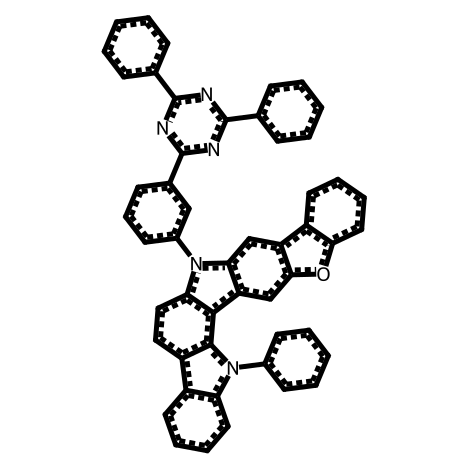 c1ccc(-c2nc(-c3ccccc3)nc(-c3cccc(-n4c5cc6c(cc5c5c4ccc4c7ccccc7n(-c7ccccc7)c45)oc4ccccc46)c3)n2)cc1